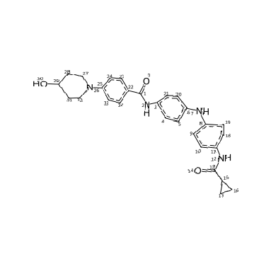 O=C(Nc1ccc(Nc2ccc(NC(=O)C3CC3)cc2)cc1)c1ccc(N2CCC(O)CC2)cc1